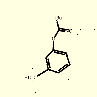 CCC(C)C(=O)Oc1cccc(C(=O)O)c1